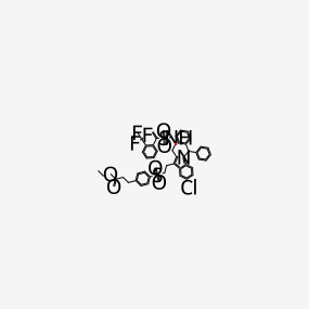 C=C(c1ccccc1C(F)(F)F)S(=O)(=O)NCCc1c(CCS(=O)(=O)c2ccc(CCC(=O)OCC)cc2)c2cc(Cl)ccc2n1C(c1ccccc1)c1ccccc1